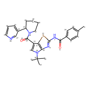 Cc1ccc(C(=O)Nc2nc3c(s2)c(C(=O)N2CCCCC2c2cccnc2)cn3C(C)(C)C)cc1